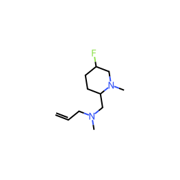 C=CCN(C)CC1CCC(F)CN1C